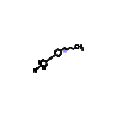 CCC/C=C/c1ccc(C#Cc2cnc(C#N)nc2)cc1